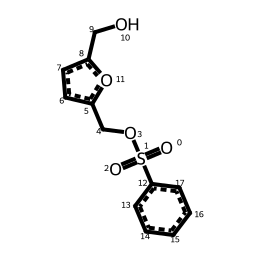 O=S(=O)(OCc1ccc(CO)o1)c1ccccc1